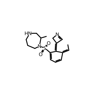 C/C=c1/cccc(S(=O)(=O)N2CCCNCC2C)/c1=C1/C=NC1